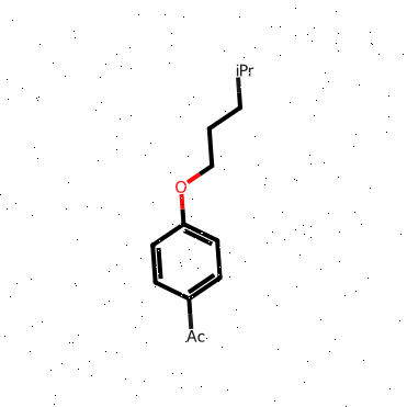 CC(=O)c1ccc(OCCCC(C)C)cc1